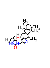 C=C(c1ccc(CN2C(=O)NC(C)(C)C2=O)cn1)c1cc2c(cc1C)C(C)(C)CCC2(C)C